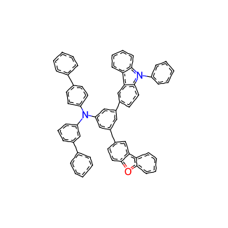 c1ccc(-c2ccc(N(c3cccc(-c4ccccc4)c3)c3cc(-c4ccc5oc6ccccc6c5c4)cc(-c4ccc5c(c4)c4ccccc4n5-c4ccccc4)c3)cc2)cc1